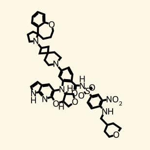 O=C(NS(=O)(=O)c1ccc(NCC2CCOCC2)c([N+](=O)[O-])c1)c1ccc(N2CCC3(CC2)CC(N2CCCC24CCCOc2ccccc24)C3)cc1N1c2cc3cc[nH]c3nc2O[C@@H]2COC[C@H]21